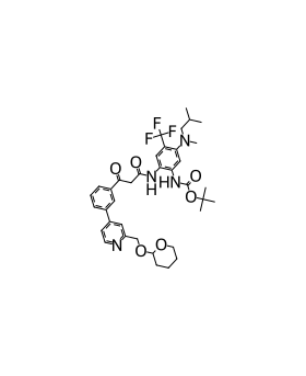 CC(C)CN(C)c1cc(NC(=O)OC(C)(C)C)c(NC(=O)CC(=O)c2cccc(-c3ccnc(COC4CCCCO4)c3)c2)cc1C(F)(F)F